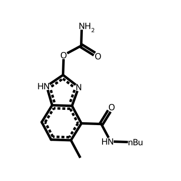 CCCCNC(=O)c1c(C)ccc2[nH]c(OC(N)=O)nc12